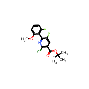 COc1cccc(F)c1-c1nc(Cl)c(C(=O)OC(C)(C)C)cc1F